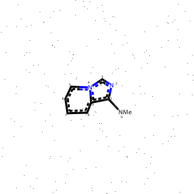 CNc1ncn2ccccc12